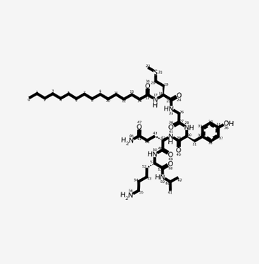 CCCCCCCCCCCCCCCC(=O)N[C@@H](CCSC)C(=O)NCC(=O)N[C@@H](Cc1ccc(O)cc1)C(=O)N[C@@H](CCC(N)=O)C(=O)N[C@@H](CCCCN)C(=O)NC(C)C